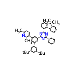 Cc1ccc(-c2cc(-c3cc(C(C)(C)C)cc(C(C)(C)C)c3)cc(-c3nc(-c4ccccc4)nc(-c4cccc5c4-c4ccccc4C5(C)C)n3)c2)c(C)n1